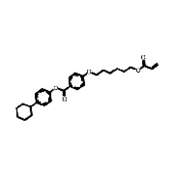 C=CC(=O)OCCCCCCOc1ccc(C(=O)Oc2ccc(C3CCCCC3)cc2)cc1